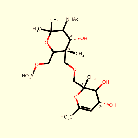 CC(=O)NC1[C@H](O)[C@](C)(COC[C@@]2(C)OC(C(=O)O)=C[C@@H](O)C2O)C(COS(=O)(=O)O)OC1(C)C